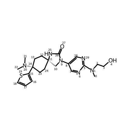 CN(CCO)c1ncc(N2C[C@]3(CC[C@@](c4cccs4)(N(C)C)CC3)NC2=O)cn1